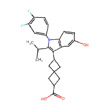 CC(C)c1c(C2CC3(CC(C(=O)O)C3)C2)c2cc(O)ccc2n1-c1ccc(F)c(F)c1